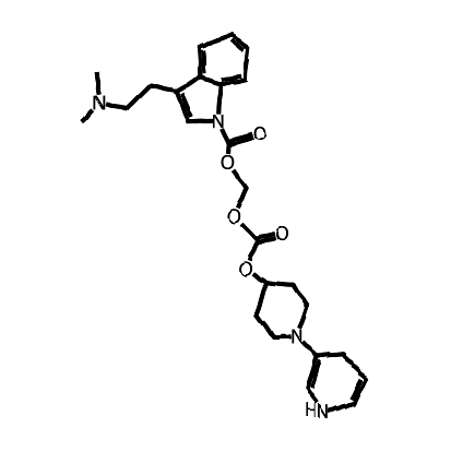 CN(C)CCc1cn(C(=O)OCOC(=O)OC2CCN(C3=CNC=CC3)CC2)c2ccccc12